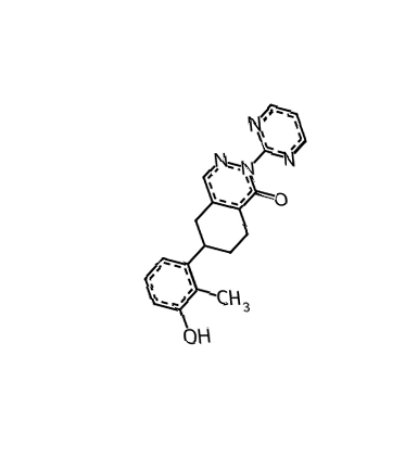 Cc1c(O)cccc1C1CCc2c(cnn(-c3ncccn3)c2=O)C1